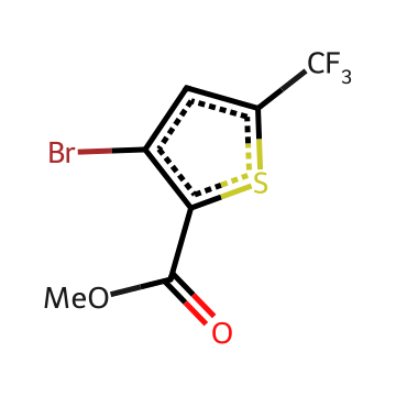 COC(=O)c1sc(C(F)(F)F)cc1Br